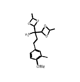 COc1ccc(CCC(N)(C2OC(C)O2)C2OC(C)O2)cc1C